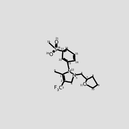 CC1=C(C(F)(F)F)CN(CC2CCCO2)N1c1cccc(S(C)(=O)=O)c1